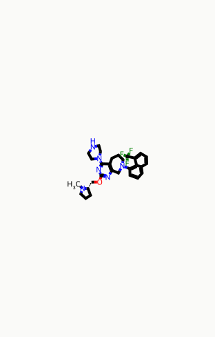 CN1CCC[C@H]1COc1nc2c(c(N3CCNCC3)n1)CCCN(c1cccc3cccc(C(F)(F)F)c13)C2